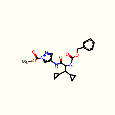 CC(C)(C)OC(=O)n1cc(NC(=O)C(NC(=O)OCc2ccccc2)C(C2CC2)C2CC2)cn1